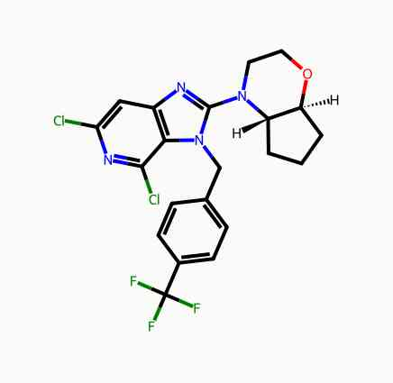 FC(F)(F)c1ccc(Cn2c(N3CCO[C@H]4CCC[C@@H]43)nc3cc(Cl)nc(Cl)c32)cc1